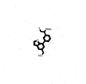 CNC(CF)c1cccc(-c2cc(CO)cc3ccoc23)c1